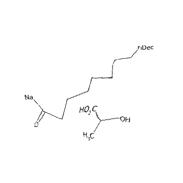 CC(O)C(=O)O.CCCCCCCCCCCCCCCCC[C](=O)[Na]